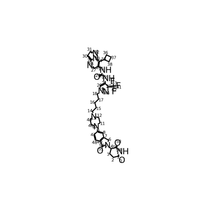 O=C1CCC(N2Cc3cc(N4CCN(CCCCCn5cc(NC(=O)Nc6cnc7ccnn7c6C6CCC6)c(C(F)(F)F)n5)CC4)ccc3C2=O)C(=O)N1